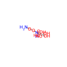 NCCOCCOCCNC(=O)C(O)C(O)[C@H](O)C(CO)CO